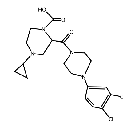 O=C([C@H]1CN(C2CC2)CCN1C(=O)O)N1CCN(c2ccc(Cl)c(Cl)c2)CC1